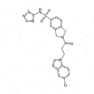 O=C(CCn1ccc2cc(Cl)ccc21)N1Cc2ccc(S(=O)(=O)Nc3ncns3)cc2C1